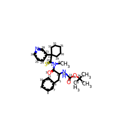 CN(C(=O)C(Cc1ccccc1)NC(=O)OC(C)(C)C)C(=S)C1(c2cccnc2)CCCCC1